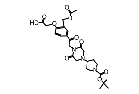 CC(=O)OCc1cc(C(=O)CN2C(=O)CN(C3CCN(C(=O)OC(C)(C)C)CC3)CC2=O)ccc1OCC(=O)O